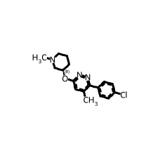 Cc1cc(O[C@@H]2CCCN(C)C2)nnc1-c1ccc(Cl)cc1